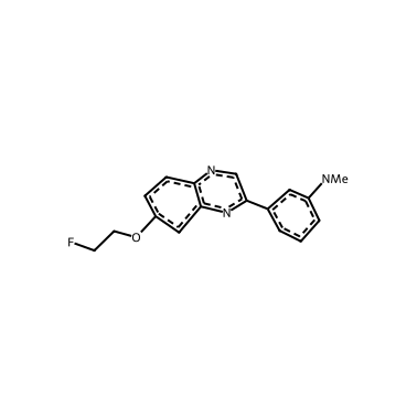 CNc1cccc(-c2cnc3ccc(OCCF)cc3n2)c1